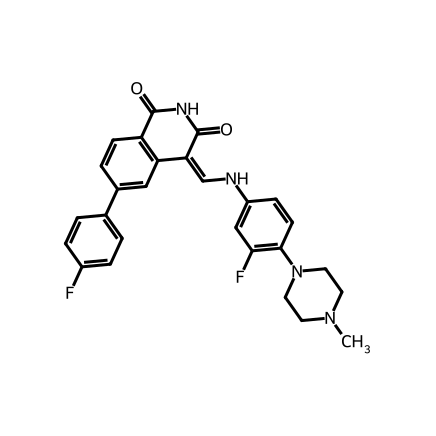 CN1CCN(c2ccc(NC=C3C(=O)NC(=O)c4ccc(-c5ccc(F)cc5)cc43)cc2F)CC1